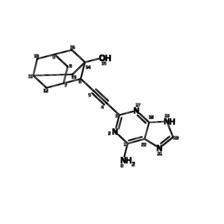 Nc1nc(C#CC2C3CC4CC(C3)CC2(O)C4)nc2[nH]cnc12